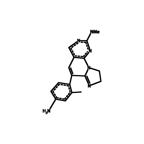 CNc1ncc2c(n1)N1CCN=C1C(c1ccc(N)cc1C)=C2